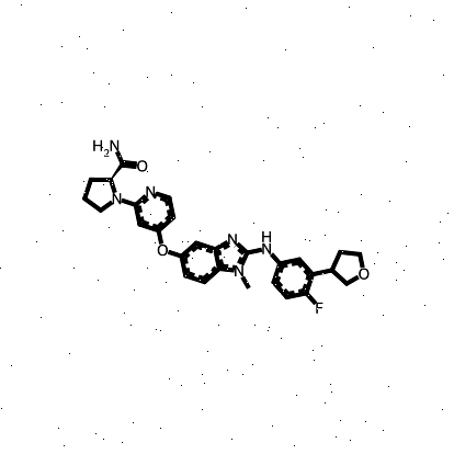 Cn1c(Nc2ccc(F)c(C3CCOC3)c2)nc2cc(Oc3ccnc(N4CCC[C@H]4C(N)=O)c3)ccc21